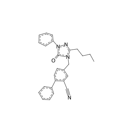 CCCCc1nn(-c2ccccc2)c(=O)n1Cc1ccc(-c2ccccc2)c(C#N)c1